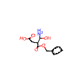 NC(O)C(CC(=O)O)C(=O)OCc1ccccc1